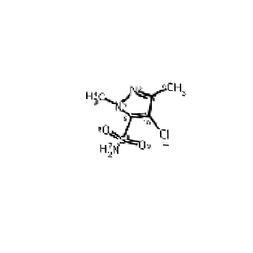 Cc1nn(C)c(S(N)(=O)=O)c1Cl